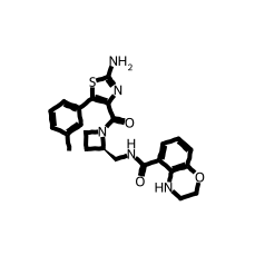 Cc1cccc(-c2sc(N)nc2C(=O)N2CC[C@@H]2CNC(=O)c2cccc3c2NCCO3)c1